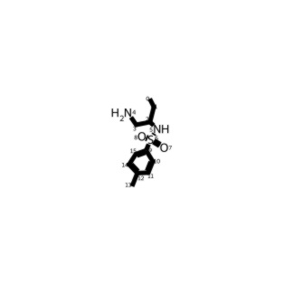 CCC(CN)NS(=O)(=O)c1ccc(C)cc1